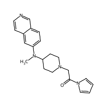 CN(c1ccc2cnccc2c1)C1CCN(CC(=O)n2cccc2)CC1